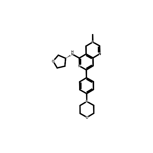 CN1C=Nc2cc(-c3ccc(N4CCOCC4)cc3)nc(N[C@@H]3CCOC3)c2C1